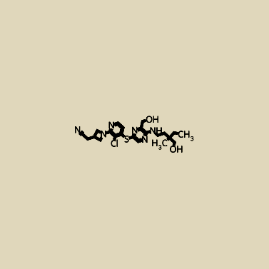 CCC(C)(CO)CCNc1ncc(Sc2ccnc(N3CC(CC#N)C3)c2Cl)nc1CO